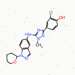 Cn1nc(-c2ccc(O)c(Cl)c2)nc1Nc1ccc2c(cnn2C2CCCCO2)c1